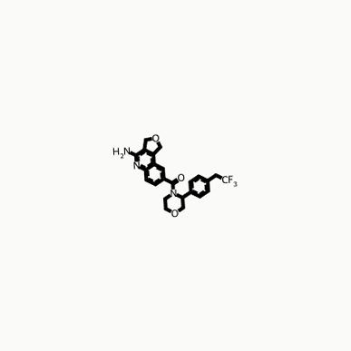 Nc1nc2ccc(C(=O)N3CCOCC3c3ccc(CC(F)(F)F)cc3)cc2c2c1COC2